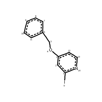 Ic1cc(OCc2ccccc2)ccn1